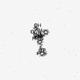 O=C(C1C[C@@H](O)CN1)N1C[C@@H]2CC(c3ccc(CCCOc4c(F)ccc(F)c4F)cc3)=C(C(=O)N(Cc3ccccc3)C3CC3)[C@@H](C1)N2